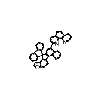 c1ccc2c(c1)-c1ccccc1C21c2cc(-c3ccc4ccc5cccnc5c4n3)c3ccccc3c2-c2ccc3ccccc3c21